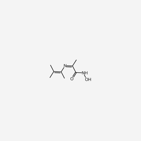 CC(C)=C(C)/N=C(/C)C(=O)NO